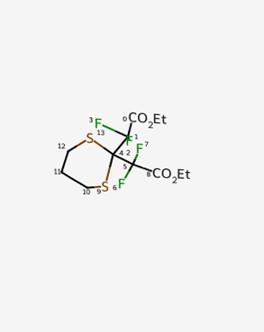 CCOC(=O)C(F)(F)C1(C(F)(F)C(=O)OCC)SCCCS1